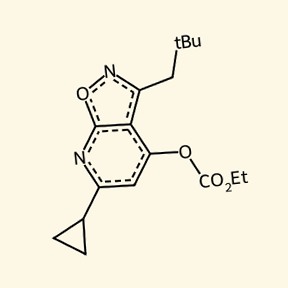 CCOC(=O)Oc1cc(C2CC2)nc2onc(CC(C)(C)C)c12